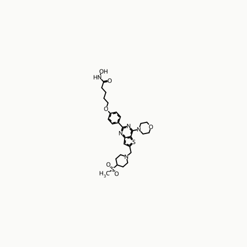 CS(=O)(=O)C1CCN(Cc2cc3nc(-c4ccc(OCCCCC(=O)NO)cc4)nc(N4CCOCC4)c3s2)CC1